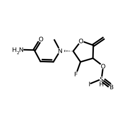 B#[SH](I)OC1C(=C)O[C@@H](N(C)/C=C\C(N)=O)C1F